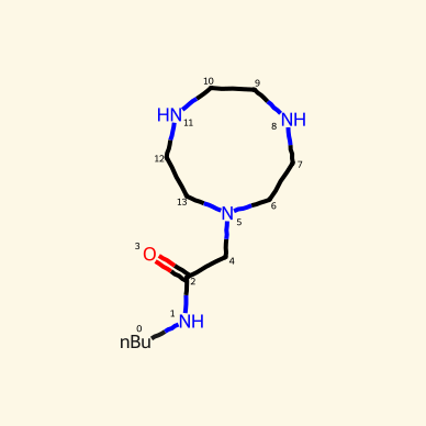 CCCCNC(=O)CN1CCNCCNCC1